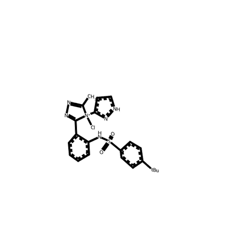 CC1=NN=C(c2ccccc2NS(=O)(=O)c2ccc(C(C)(C)C)cc2)[N+]1(Cl)c1cc[nH]n1